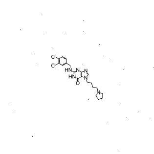 O=c1[nH]c(NCc2ccc(Cl)c(Cl)c2)nc2ncn(CCCCN3CCCC3)c12